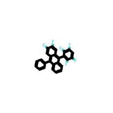 Fc1cc2c(-c3ccccc3)c3ccccc3c(-c3c(F)c(F)cc(F)c3F)c2cc1F